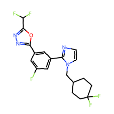 Fc1cc(-c2nnc(C(F)F)o2)cc(-c2nccn2CC2CCC(F)(F)CC2)c1